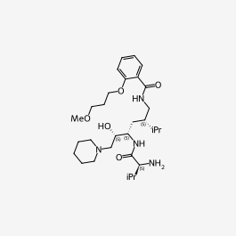 COCCCOc1ccccc1C(=O)NC[C@@H](C[C@H](NC(=O)[C@@H](N)C(C)C)[C@@H](O)CN1CCCCC1)C(C)C